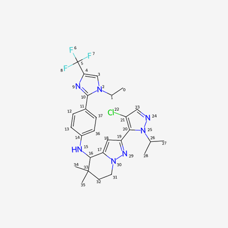 CCn1cc(C(F)(F)F)nc1-c1ccc(NC2c3cc(-c4c(Cl)cnn4C(C)C)nn3CCC2(C)C)cc1